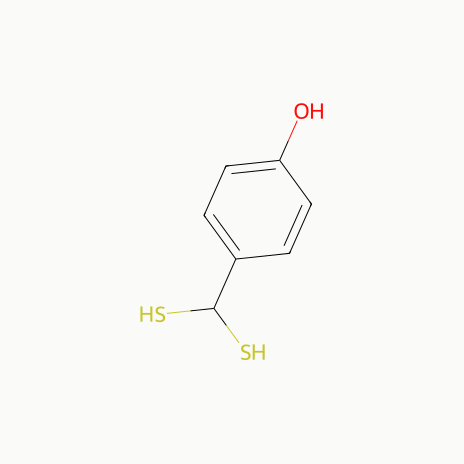 Oc1ccc(C(S)S)cc1